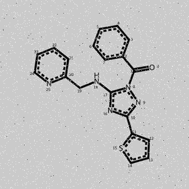 O=C(c1ccccc1)n1nc(-c2cccs2)nc1NCc1ccccn1